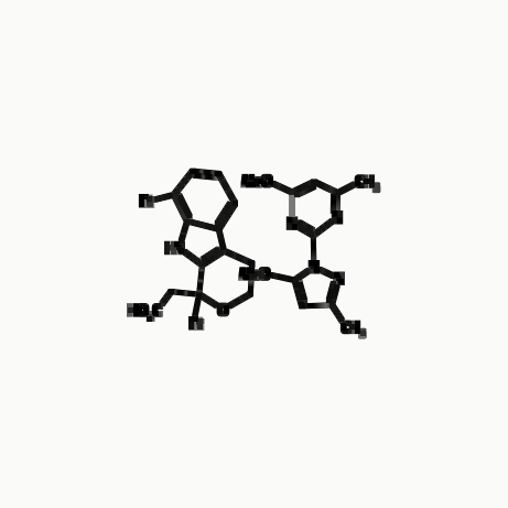 CCc1cccc2c3c([nH]c12)C(CC)(CC(=O)O)OCC3.COc1cc(C)nc(-n2nc(C)cc2OC)n1